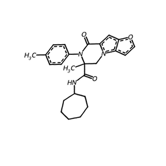 Cc1ccc(N2C(=O)c3cc4occc4n3CC2(C)C(=O)NC2CCCCCC2)cc1